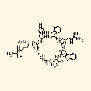 CC(=O)N[C@@H](CCCNC(=N)N)C(=O)N[C@H]1CCCNC(=O)CC[C@@H](C(N)=O)NC(=O)[C@H](Cc2c[nH]c3ccccc23)NC(=O)[C@H](CCCNC(=N)N)NC(=O)[C@@H](Cc2ccccc2I)NC(=O)[C@H](Cc2c[nH]cn2)NC1=O